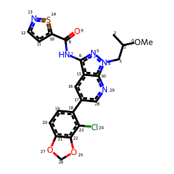 COC(C)Cn1nc(NC(=O)c2ccns2)c2cc(-c3ccc4c(c3Cl)OCO4)cnc21